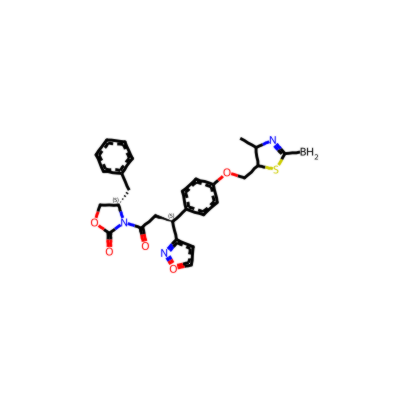 BC1=NC(C)C(COc2ccc([C@H](CC(=O)N3C(=O)OC[C@@H]3Cc3ccccc3)c3ccon3)cc2)S1